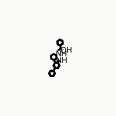 O[C@H](CN[C@@H]1CCCc2c1[nH]c1ccc(-c3ccccc3)cc21)c1ccccc1